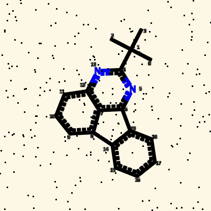 CC(C)(C)c1nc2c3c(cccc3n1)-c1ccccc1-2